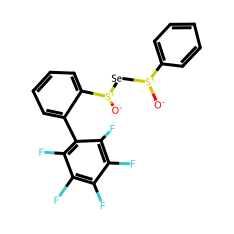 [O-][S+]([Se][S+]([O-])c1ccccc1-c1c(F)c(F)c(F)c(F)c1F)c1ccccc1